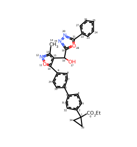 CCOC(=O)C1(c2ccc(-c3ccc(-c4onc(C)c4C(O)c4nnc(-c5ccccc5)o4)cc3)cc2)CC1